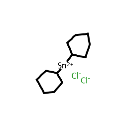 C1CC[CH]([Sn+2][CH]2CCCCC2)CC1.[Cl-].[Cl-]